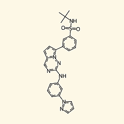 CC(C)(C)NS(=O)(=O)c1cccc(-c2ccc3cnc(Nc4cccc(-n5cccn5)c4)nn23)c1